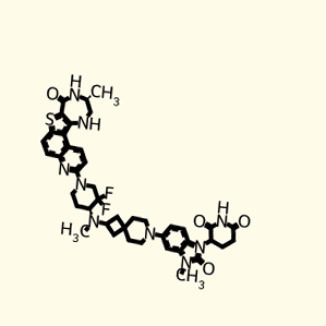 C[C@@H]1CNc2c(sc3ccc4nc(N5CC[C@H](N(C)C6CC7(CCN(c8ccc9c(c8)n(C)c(=O)n9C8CCC(=O)NC8=O)CC7)C6)C(F)(F)C5)ccc4c23)C(=O)N1